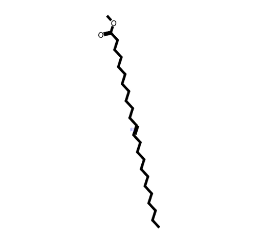 CCCCCCCCCCC/C=C/CCCCCCCCCCC(=O)OC